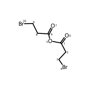 O=C(CCBr)OC(=O)CCBr